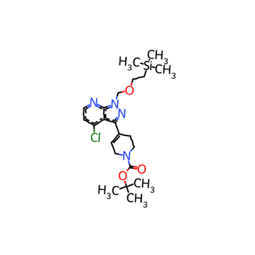 CC(C)(C)OC(=O)N1CC=C(c2nn(COCC[Si](C)(C)C)c3nccc(Cl)c23)CC1